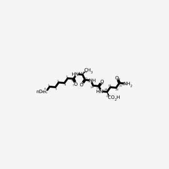 CCCCCCCCCCCCCCCC(=O)N[C@@H](C)C(=O)NCC(=O)N[C@@H](CCC(N)=O)C(=O)O